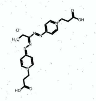 CCC(N=Nc1cc[n+](CCC(=O)O)cc1)=NN=c1ccn(CCC(=O)O)cc1.[Cl-]